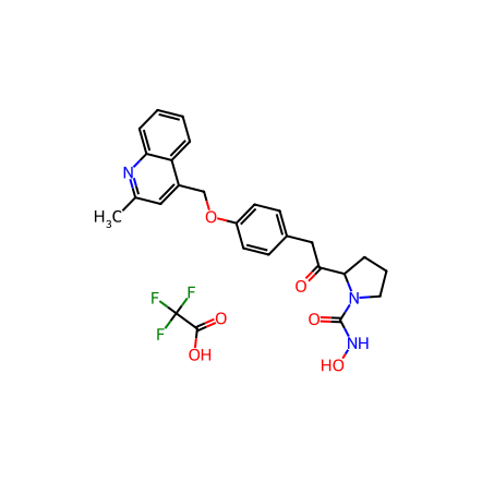 Cc1cc(COc2ccc(CC(=O)C3CCCN3C(=O)NO)cc2)c2ccccc2n1.O=C(O)C(F)(F)F